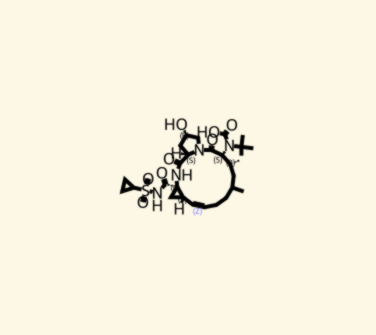 CC1CC/C=C\[C@@H]2C[C@@]2(C(=O)NS(=O)(=O)C2CC2)NC(=O)[C@@H]2C[C@@H](O)CN2C(=O)[C@@H](N(C(=O)O)C(C)(C)C)[C@H](C)C1